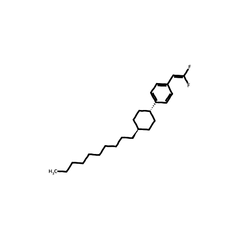 CCCCCCCCCC[C@H]1CC[C@H](c2ccc(C=C(F)F)cc2)CC1